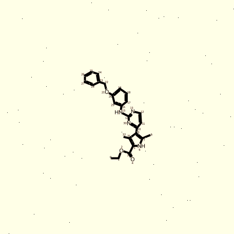 CCOC(=O)c1[nH]c(C)c(-c2ccnc(Nc3cccc(OCc4ccccc4)c3)n2)c1C